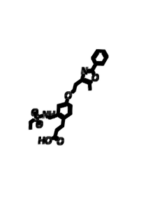 CCS(=O)(=O)NCc1cc(OCCc2nc(-c3ccccc3)oc2C)ccc1CCC(=O)O